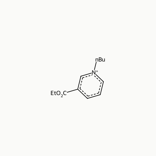 CCCC[n+]1cccc(C(=O)OCC)c1